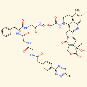 CC[C@@]1(O)C(=O)OCc2c1cc1n(c2=O)Cc2c-1nc1cc(F)c(C)c3c1c2[C@@H](NC(=O)COCNC(=O)CNC(=O)[C@H](Cc1ccccc1)NC(=O)CNC(=O)CNC(=O)Cc1ccc(-c2nnc(C)nn2)cc1)CC3